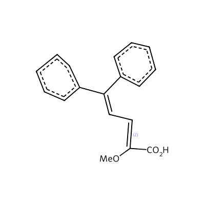 CO/C(=C\C=C(c1ccccc1)c1ccccc1)C(=O)O